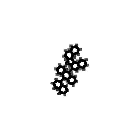 c1ccc2c(-c3c4ccccc4c(-c4cc5ccccc5c5c4oc4ccc6ccccc6c45)c4ccccc34)cccc2c1